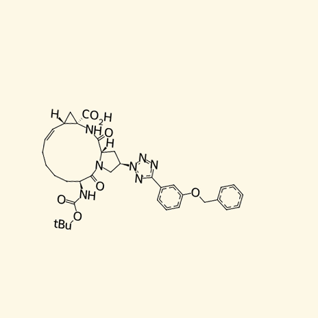 CC(C)(C)OC(=O)N[C@H]1CCCC/C=C\[C@@H]2C[C@@]2(C(=O)O)NC(=O)[C@@H]2C[C@@H](n3nnc(-c4cccc(OCc5ccccc5)c4)n3)CN2C1=O